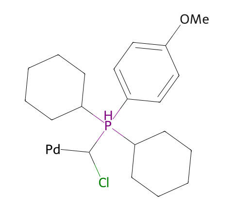 COc1ccc([PH]([CH](Cl)[Pd])(C2CCCCC2)C2CCCCC2)cc1